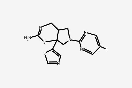 NC1=NCC2CN(c3ncc(F)cn3)CC2(c2cncs2)S1